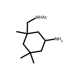 CC(=O)NCC1(C)CC(N)CC(C)(C)C1